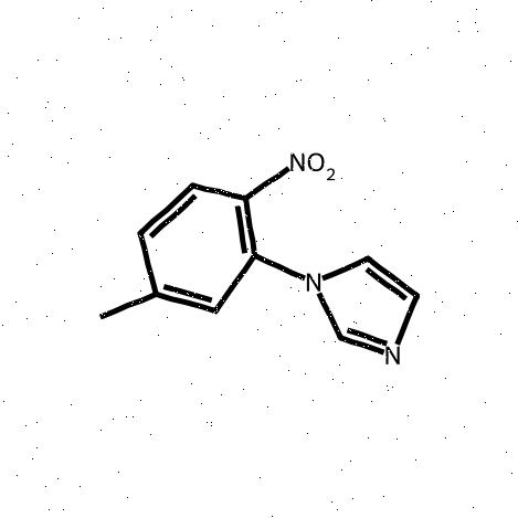 Cc1ccc([N+](=O)[O-])c(-n2ccnc2)c1